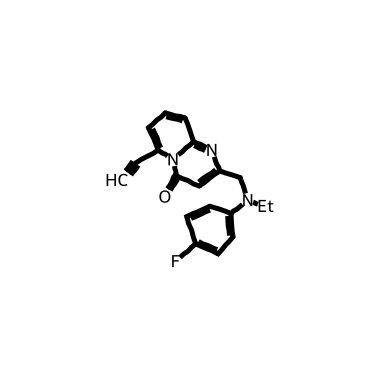 C#Cc1cccc2nc(CN(CC)c3ccc(F)cc3)cc(=O)n12